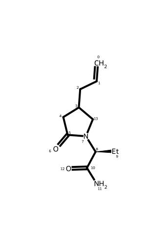 C=CCC1CC(=O)N([C@@H](CC)C(N)=O)C1